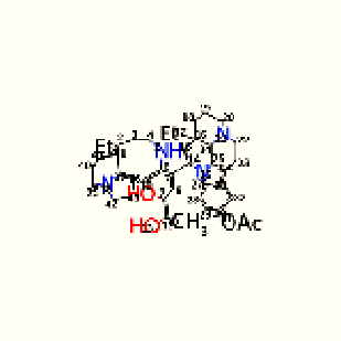 CCC12CCCNC(/C(=C\C(O)=C(/C)O)C3CC4(CC)CCCN5CCc6c(n3c3ccc(OC(C)=O)cc63)C54)=C\C3=C1N(CCC2)CC3